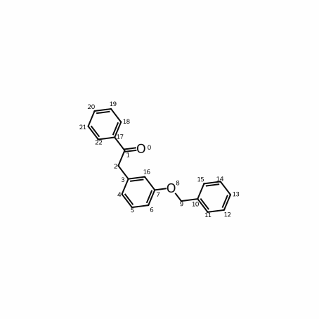 O=C(Cc1cccc(OCc2ccccc2)c1)c1ccccc1